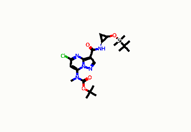 CN(C(=O)OC(C)(C)C)c1cc(Cl)nc2c(C(=O)N[C@@H]3CC3O[Si](C)(C)C(C)(C)C)cnn12